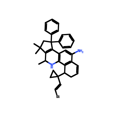 CCC=CC1(C2CC=Cc3c(N)cc4c(c32)NC(C)C2=C4C(c3ccccc3)(c3ccccc3)CC2(C)C)CC1